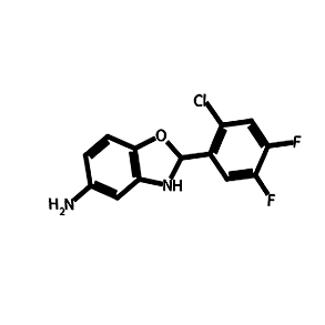 Nc1ccc2c(c1)NC(c1cc(F)c(F)cc1Cl)O2